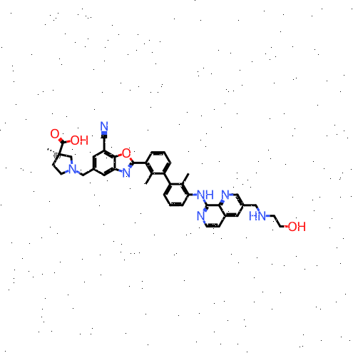 Cc1c(Nc2nccc3cc(CNCCO)cnc23)cccc1-c1cccc(-c2nc3cc(CN4CC[C@@](C)(C(=O)O)C4)cc(C#N)c3o2)c1C